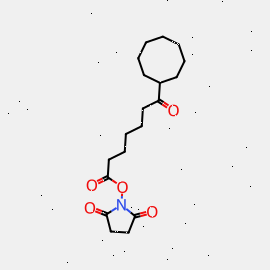 O=C(CCCCCC(=O)C1CCCCCCC1)ON1C(=O)CCC1=O